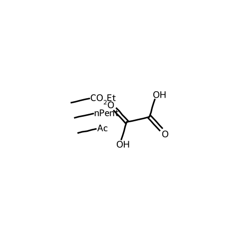 CC(C)=O.CCCCCC.CCOC(C)=O.O=C(O)C(=O)O